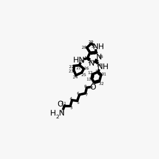 NC(=O)CCCCCCOc1ccc(Nc2nc3c(c(NC4CCCCC4)n2)CCN3)cc1